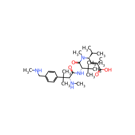 CNCc1ccc(C(C)(C)[C@@H](NC)C(=O)N[C@H](C(=O)N(C)[C@H](/C=C(\C)C(=O)O)C(C)C)C(C)(C)C)cc1